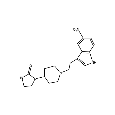 O=C1NCCN1C1CCN(CCc2c[nH]c3ccc([N+](=O)[O-])cc23)CC1